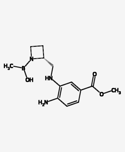 COC(=O)c1ccc(N)c(NC[C@H]2CCN2B(C)O)c1